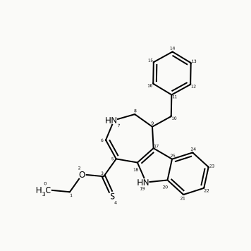 CCOC(=S)C1=CNCC(Cc2ccccc2)c2c1[nH]c1ccccc21